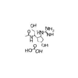 CC(=O)NC(CCO)[C@@H]1C[C@@H](O)C[C@@H]1NC(=N)N.O=C(O)O